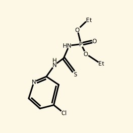 CCOP(=O)(NC(=S)Nc1cc(Cl)ccn1)OCC